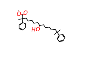 COC(=O)C(C)(CCCCCC(O)CCCCCC(C)(C)c1ccccc1)c1ccccc1